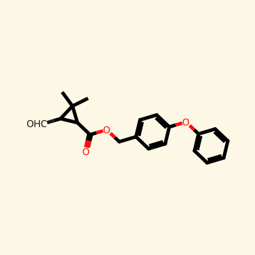 CC1(C)C(C=O)C1C(=O)OCc1ccc(Oc2ccccc2)cc1